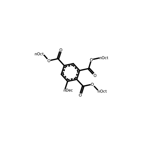 CCCCCCCCCCc1cc(C(=O)OCCCCCCCC)cc(C(=O)OCCCCCCCC)c1C(=O)OCCCCCCCC